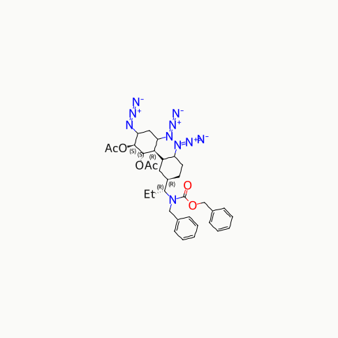 CC[C@H]([C@@H]1CCC(N=[N+]=[N-])C([C@@H]2C(N=[N+]=[N-])CC(N=[N+]=[N-])[C@H](OC(C)=O)[C@H]2OC(C)=O)C1)N(Cc1ccccc1)C(=O)OCc1ccccc1